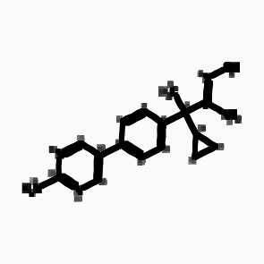 CC(/C(N)=N/O)(c1ccc(-c2cnc(N)nc2)cc1)C1CC1